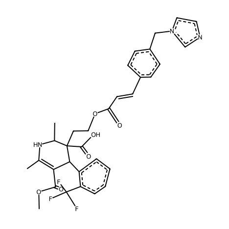 COC(=O)C1=C(C)NC(C)C(CCOC(=O)C=Cc2ccc(Cn3ccnc3)cc2)(C(=O)O)C1c1ccccc1C(F)(F)F